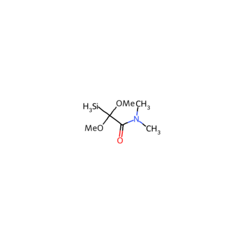 COC([SiH3])(OC)C(=O)N(C)C